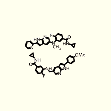 CN(c1cnc2[nH]c(-c3ccccn3)cc2c1)c1cc(C(=O)NC2CC2)ccc1F.COc1ccc(-c2cc3cc(CNc4cc(C(=O)NC5CC5)ccc4F)cnc3[nH]2)cc1